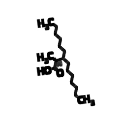 CCCCCCCC(CCCCCC)[C@H](C)C(=O)O